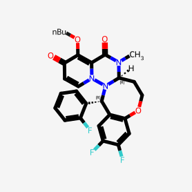 CCCCOc1c2n(ccc1=O)N1[C@@H](c3ccccc3F)c3cc(F)c(F)cc3OCC[C@@H]1N(C)C2=O